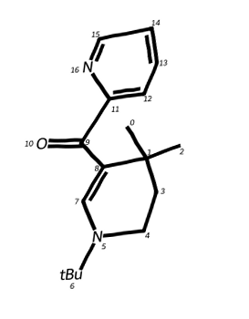 CC1(C)CCN(C(C)(C)C)C=C1C(=O)c1ccccn1